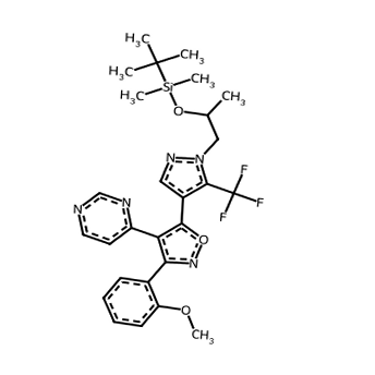 COc1ccccc1-c1noc(-c2cnn(CC(C)O[Si](C)(C)C(C)(C)C)c2C(F)(F)F)c1-c1ccncn1